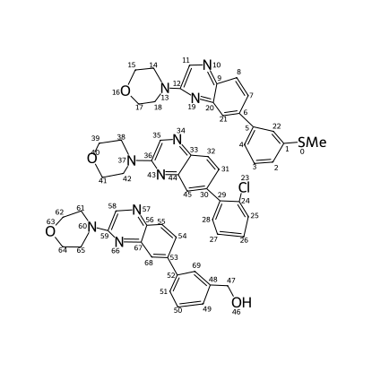 CSc1cccc(-c2ccc3ncc(N4CCOCC4)nc3c2)c1.Clc1ccccc1-c1ccc2ncc(N3CCOCC3)nc2c1.OCc1cccc(-c2ccc3ncc(N4CCOCC4)nc3c2)c1